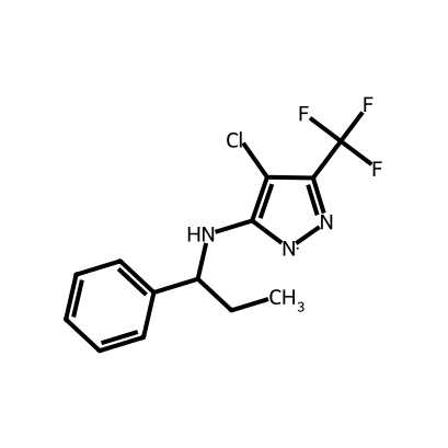 CCC(NC1=C(Cl)C(C(F)(F)F)=N[N]1)c1ccccc1